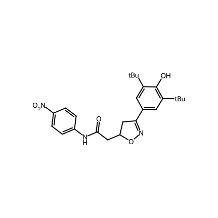 CC(C)(C)c1cc(C2=NOC(CC(=O)Nc3ccc([N+](=O)[O-])cc3)C2)cc(C(C)(C)C)c1O